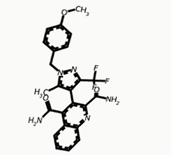 COc1ccc(Cn2nc(C(F)(F)F)c(-c3c(C(N)=O)nc4ccccc4c3C(N)=O)c2C)cc1